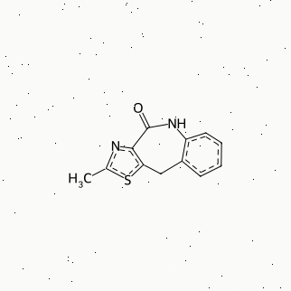 Cc1nc2c(s1)Cc1ccccc1NC2=O